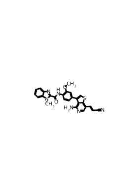 COc1cc(-c2csc3c(C=CC#N)cnc(N)c23)ccc1NC(=O)c1nc2ccccc2n1C